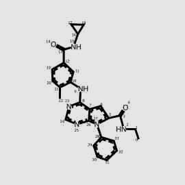 CCNC(=O)c1cc2c(Nc3cc(C(=O)NC4CC4)ccc3C)ncnc2n1-c1ccccc1